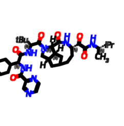 CC(C)[C@H](C)NC(=O)C(=O)[C@@H]1CCC2C[C@H]3CN(C(=O)[C@@H](NC(=O)[C@@H](NC(=O)c4cnccn4)C4CCCCC4)C(C)(C)C)[C@H](C(=O)N1)[C@H]3C2